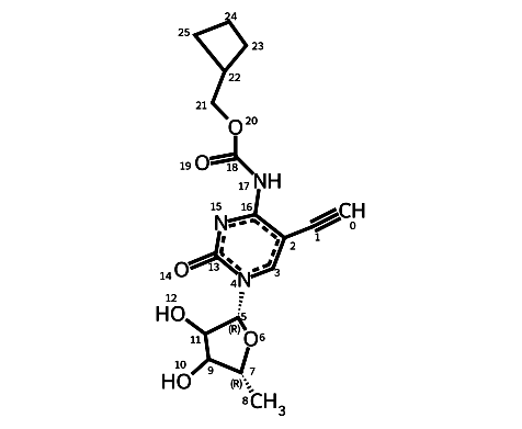 C#Cc1cn([C@@H]2O[C@H](C)C(O)C2O)c(=O)nc1NC(=O)OCC1CCC1